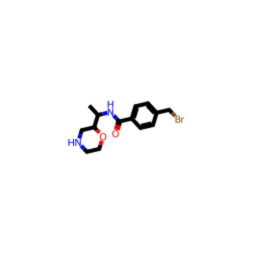 CC(NC(=O)c1ccc(CBr)cc1)C1CNCCO1